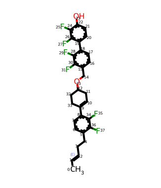 C/C=C/CCc1ccc(C2=CCC(OCc3ccc(-c4ccc(O)c(F)c4F)c(F)c3F)CC2)c(F)c1F